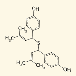 CC(C)=CC(SC(C=C(C)C)c1ccc(O)cc1)c1ccc(O)cc1